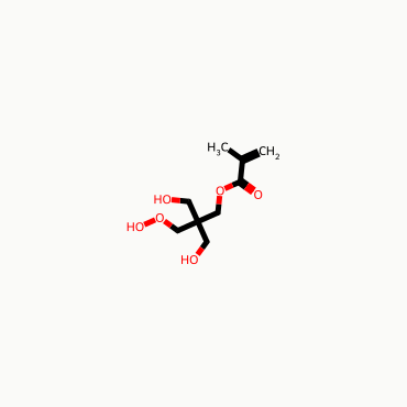 C=C(C)C(=O)OCC(CO)(CO)COO